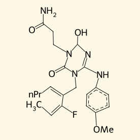 C/C=C(F)\C(=C/CCC)CN1C(=O)N(CCC(N)=O)C(O)N=C1Nc1ccc(OC)cc1